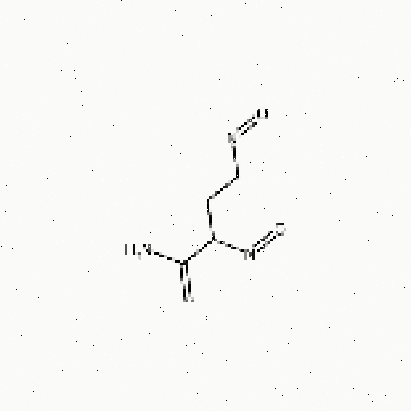 C=C(N)C(CCN=O)N=O